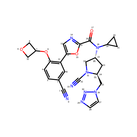 N#Cc1ccc(OC2COC2)c(-c2cnc(C(=O)N(C3CC3)[C@@H]3C[C@@H](Cn4ccnn4)N(C#N)C3)o2)c1